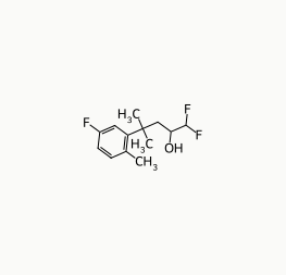 Cc1ccc(F)cc1C(C)(C)CC(O)C(F)F